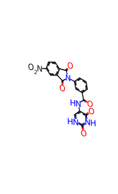 O=C(Nc1c[nH]c(=O)[nH]c1=O)c1cccc(N2C(=O)c3ccc([N+](=O)[O-])cc3C2=O)c1